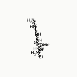 [CH2]CSC[C@H](N)C(=O)N[C@@H](CCC(=O)NCCCNCCCCNCCCN)C(=O)OC